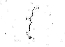 NOCCCNCCO